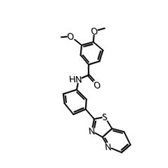 COc1ccc(C(=O)Nc2cccc(-c3nc4ncccc4s3)c2)cc1OC